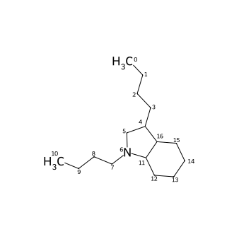 CCCCC1CN(CCCC)C2CCCCC12